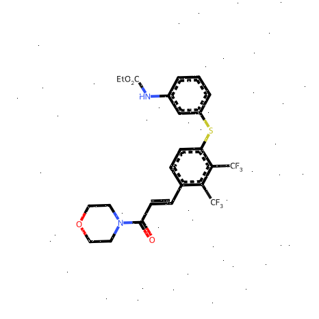 CCOC(=O)Nc1cccc(Sc2ccc(C=CC(=O)N3CCOCC3)c(C(F)(F)F)c2C(F)(F)F)c1